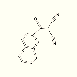 N#CC(C#N)C(=O)c1ccc2ccccc2c1